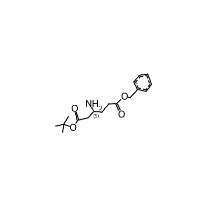 CC(C)(C)OC(=O)C[C@@H](N)CCC(=O)OCc1ccccc1